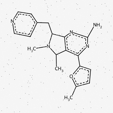 Cc1ccc(-c2nc(N)nc3c2C(C)N(C)C3Cc2ccncc2)o1